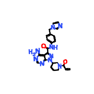 C=CC(=O)N1CCCC(n2nc(C(=O)Nc3ccc(Cn4ccnc4)cc3)c3c(N)ncnc32)C1